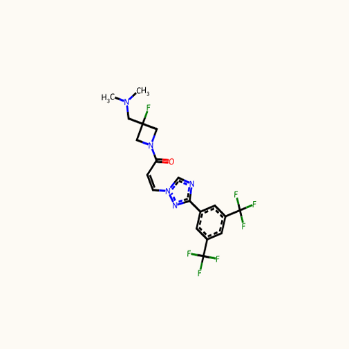 CN(C)CC1(F)CN(C(=O)/C=C\n2cnc(-c3cc(C(F)(F)F)cc(C(F)(F)F)c3)n2)C1